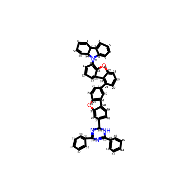 C1=CC2c3ccccc3N(c3cccc4c3oc3cccc(-c5ccc6oc7cc(C8N=C(c9ccccc9)N=C(c9ccccc9)N8)ccc7c6c5)c34)C2C=C1